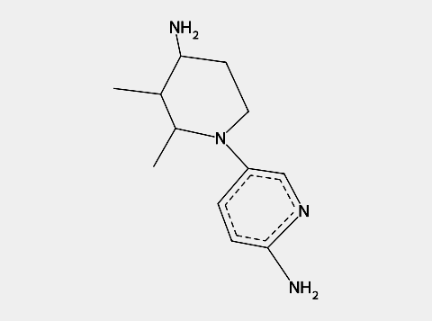 CC1C(N)CCN(c2ccc(N)nc2)C1C